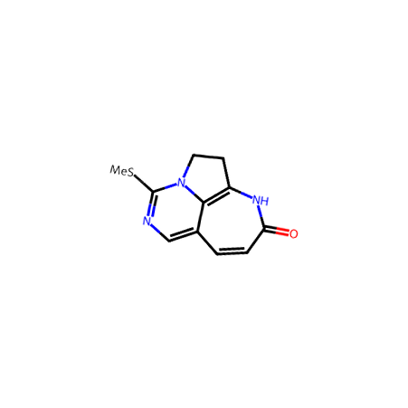 CSC1=NC=C2C=CC(=O)NC3=C2N1CC3